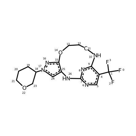 FC(F)(F)c1cnc2nc1NCCCOc1nn(C3CCCOC3)cc1N2